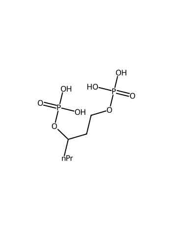 CCCC(CCOP(=O)(O)O)OP(=O)(O)O